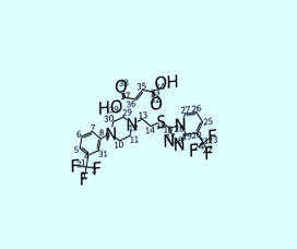 FC(F)(F)c1cccc(N2CCN(CCSc3nnc4c(C(F)(F)F)cccn34)CC2)c1.O=C(O)C=CC(=O)O